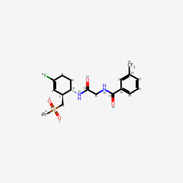 CC(C)S(=O)(=O)C[C@H]1C=C(F)CC[C@@H]1NC(=O)CNC(=O)c1cccc(C(F)(F)F)c1